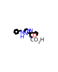 O=C(O)/C=C/c1c(-c2ccco2)nn2ccc(NCc3ccccc3)nc12